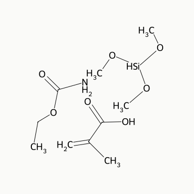 C=C(C)C(=O)O.CCOC(N)=O.CO[SiH](OC)OC